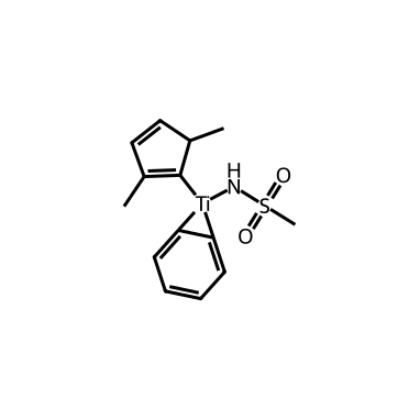 CC1=[C]([Ti]2([NH]S(C)(=O)=O)[c]3cccc[c]32)C(C)C=C1